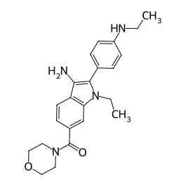 CCNc1ccc(-c2c(N)c3ccc(C(=O)N4CCOCC4)cc3n2CC)cc1